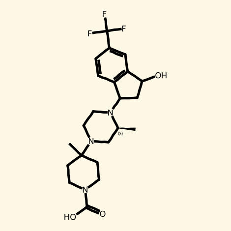 C[C@H]1CN(C2(C)CCN(C(=O)O)CC2)CCN1C1CC(O)c2cc(C(F)(F)F)ccc21